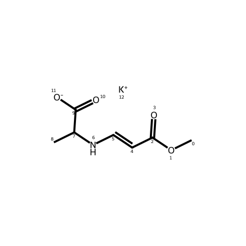 COC(=O)C=CNC(C)C(=O)[O-].[K+]